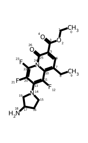 CCOC(=O)c1cc(CC)c2c(F)c(N3CCC(N)C3)c(F)c(F)n2c1=O